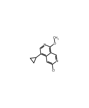 COc1ncc(C2CC2)c2cc(Cl)ncc12